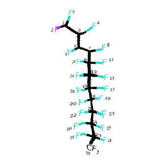 FC(I)C(F)C(F)C(F)C(F)(F)C(F)(F)C(F)(F)C(F)(F)C(F)(F)C(F)(F)C(F)(F)C(F)(F)F